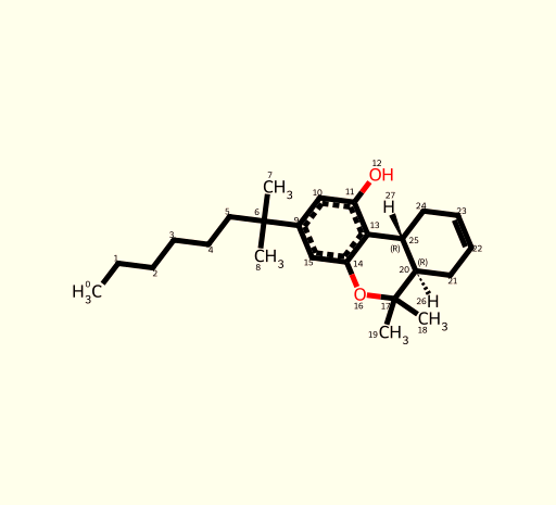 CCCCCCC(C)(C)c1cc(O)c2c(c1)OC(C)(C)[C@@H]1CC=CC[C@@H]21